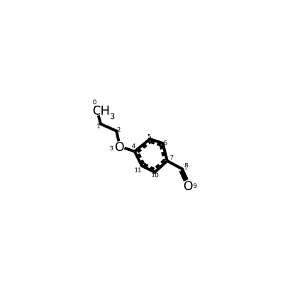 CCCOc1ccc([C]=O)cc1